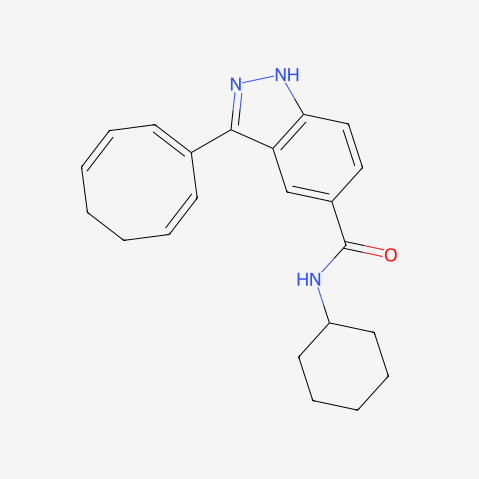 O=C(NC1CCCCC1)c1ccc2[nH]nc(C3=C/C=C\CC/C=C\3)c2c1